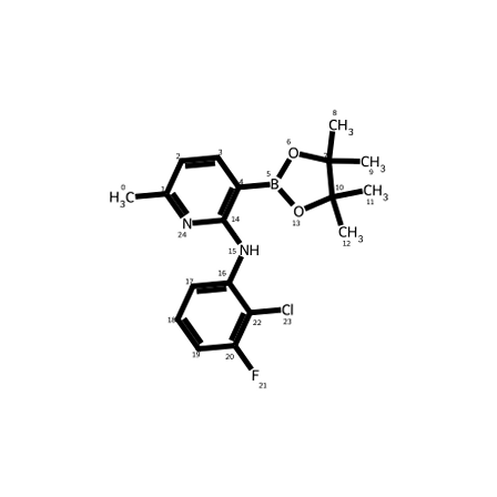 Cc1ccc(B2OC(C)(C)C(C)(C)O2)c(Nc2cccc(F)c2Cl)n1